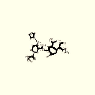 CN/C=C(\C=N)c1cc(F)c(NC(=N)C2=C(N[C@H]3CCOC3)CCN(C(=O)NC)C2)cc1C(F)F